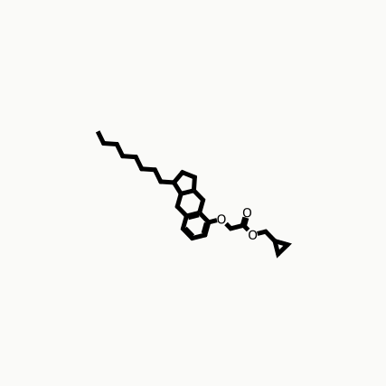 CCCCCCCCC1CCC2Cc3c(cccc3OCC(=O)OCC3CC3)CC12